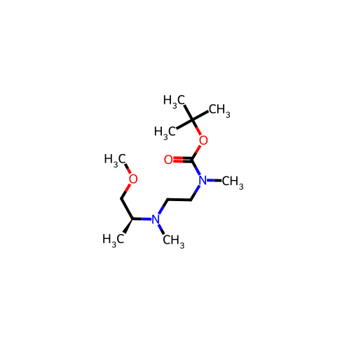 COC[C@H](C)N(C)CCN(C)C(=O)OC(C)(C)C